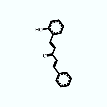 O=C(/C=C/c1ccccc1)/C=C/c1ccccc1O